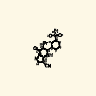 CCS(=O)(=O)c1cccc(-c2[nH]c3c(C#N)cnn3c(=O)c2C(C)C)c1